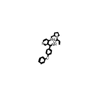 C=CC(=O)N1CCCC1CNc1ccncc1C(=N)c1ccc(Oc2ccccc2)cc1